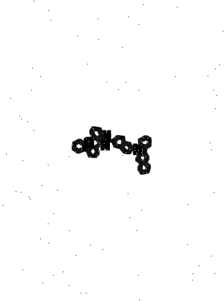 c1ccc2cc3c(cc2c1)c1ccccc1n3-c1ccc2cc(-c3nc(-c4cccc5c4oc4ccccc45)c4ccccc4n3)ccc2c1